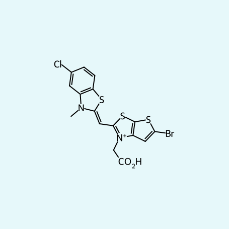 CN1/C(=C/c2sc3sc(Br)cc3[n+]2CC(=O)O)Sc2ccc(Cl)cc21